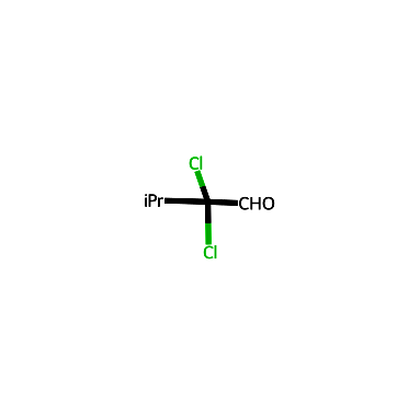 CC(C)C(Cl)(Cl)C=O